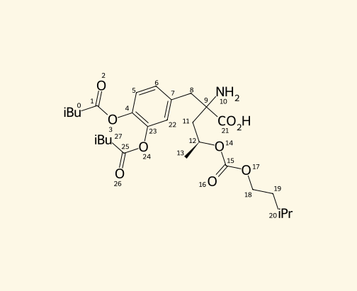 CCC(C)C(=O)Oc1ccc(CC(N)(C[C@H](C)OC(=O)OCCC(C)C)C(=O)O)cc1OC(=O)C(C)CC